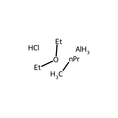 CCCC.CCOCC.Cl.[AlH3]